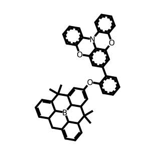 CC1(C)C2=CC=CC3CC4=CC=CC5C4B(C23)C2C1=CC(Oc1ccccc1-c1cc3c4c(c1)Oc1ccccc1N4c1ccccc1O3)=CC2C5(C)C